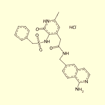 Cc1cc(CC(=O)NCc2ccc3c(N)nccc3c2)c(NS(=O)(=O)Cc2ccccc2)c(=O)[nH]1.Cl